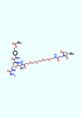 CC(C)C(NC(=O)CCOCCOCCOCCOCCNC(=O)CCN1C(=O)CC(C(C)(C)C)C1=O)C(=O)N[C@@H](CCCNC(N)=O)C(=O)Nc1ccc(COC(=O)C(C)(C)C)cc1